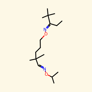 CC/C(=N\OCCCC(C)(C)/C=N/OC(C)C)C(C)(C)C